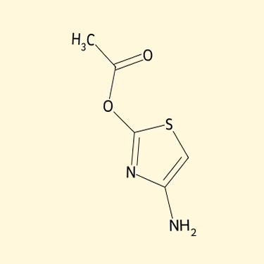 CC(=O)Oc1nc(N)cs1